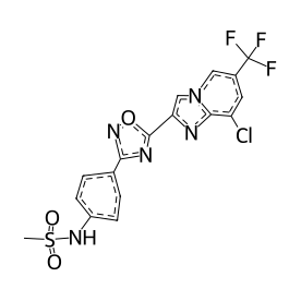 CS(=O)(=O)Nc1ccc(-c2noc(-c3cn4cc(C(F)(F)F)cc(Cl)c4n3)n2)cc1